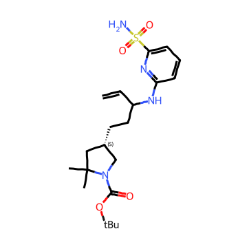 C=CC(CC[C@@H]1CN(C(=O)OC(C)(C)C)C(C)(C)C1)Nc1cccc(S(N)(=O)=O)n1